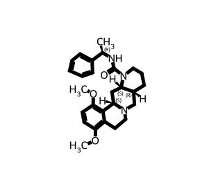 COc1ccc(OC)c2c1CCN1C[C@H]3CCCN(C(=O)N[C@H](C)c4ccccc4)[C@H]3C[C@@H]21